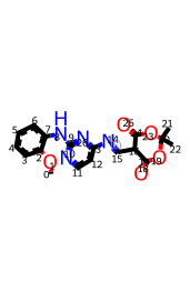 COc1ccccc1Nc1nccc(/N=C/C2C(=O)OC(C)(C)OC2=O)n1